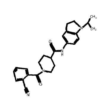 CC(C)N1CCc2cc(NC(=O)C3CCN(C(=O)c4ccccc4C#N)CC3)ccc21